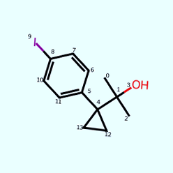 CC(C)(O)C1(c2ccc(I)cc2)CC1